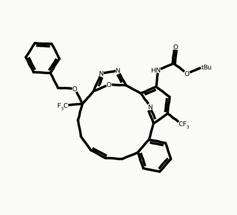 CC(C)(C)OC(=O)Nc1cc(C(F)(F)F)c2nc1-c1nnc(o1)C(OCc1ccccc1)(C(F)(F)F)CCC=CCc1ccccc1-2